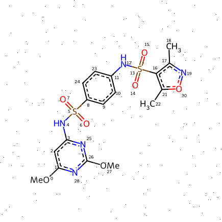 COc1cc(NS(=O)(=O)c2ccc(NS(=O)(=O)c3c(C)noc3C)cc2)nc(OC)n1